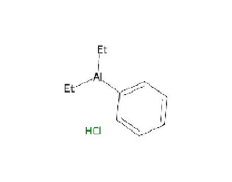 C[CH2][Al]([CH2]C)[c]1ccccc1.Cl